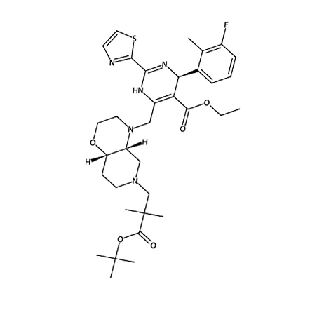 CCOC(=O)C1=C(CN2CCO[C@H]3CCN(CC(C)(C)C(=O)OC(C)(C)C)C[C@H]32)NC(c2nccs2)=N[C@H]1c1cccc(F)c1C